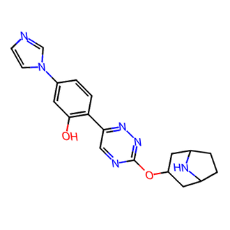 Oc1cc(-n2ccnc2)ccc1-c1cnc(OC2CC3CCC(C2)N3)nn1